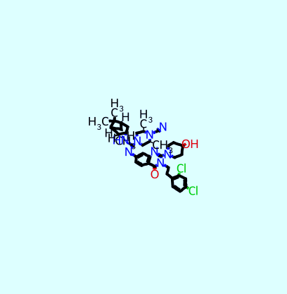 C[C@H]1[C@@H](NC(=Nc2ccc3c(=O)n(CCc4ccc(Cl)cc4Cl)c(N4CCC(O)CC4)nc3c2)N2C[C@@H](C)N(C#N)[C@@H](C)C2)C[C@H]2C[C@H]1C2(C)C